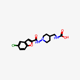 O=C(O)NCC1CCN(NC(=O)c2cc3cc(Cl)ccc3o2)CC1